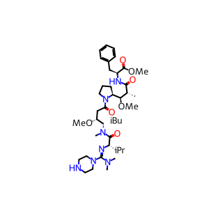 CC[C@H](C)[C@@H]([C@@H](CC(=O)N1CCC[C@H]1[C@H](OC)[C@@H](C)C(=O)N[C@@H](Cc1ccccc1)C(=O)OC)OC)N(C)C(=O)[C@@H](/N=C(\N(C)C)N1CCNCC1)C(C)C